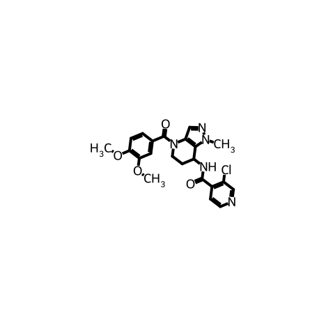 COc1ccc(C(=O)N2CCC(NC(=O)c3ccncc3Cl)c3c2cnn3C)cc1OC